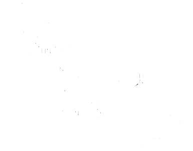 CC(CO[C@H](C)C(=O)OC(C)(C)C)N[C@H]1CC[C@H](Nc2cc(-c3cccc(NCC4(C#N)CCOCC4)n3)c(Cl)cn2)CC1